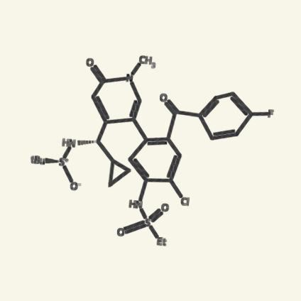 CCS(=O)(=O)Nc1cc(-c2cn(C)c(=O)cc2[C@@H](N[S@@+]([O-])C(C)(C)C)C2CC2)c(C(=O)c2ccc(F)cc2)cc1Cl